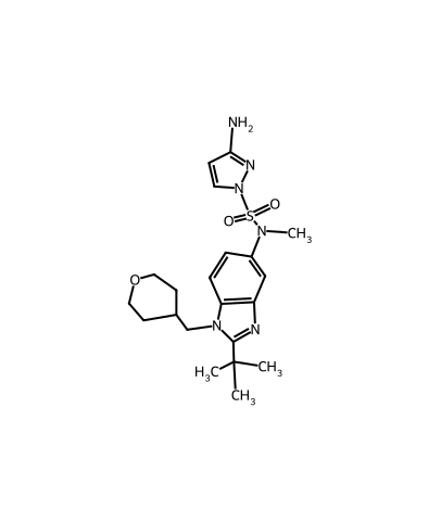 CN(c1ccc2c(c1)nc(C(C)(C)C)n2CC1CCOCC1)S(=O)(=O)n1ccc(N)n1